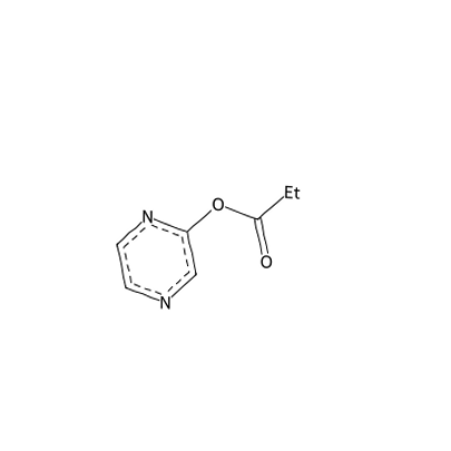 CCC(=O)Oc1cnccn1